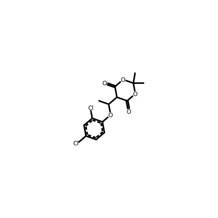 CC(Oc1ccc(Cl)cc1Cl)C1C(=O)OC(C)(C)OC1=O